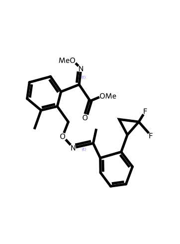 CO/N=C(/C(=O)OC)c1cccc(C)c1CO/N=C(\C)c1ccccc1C1CC1(F)F